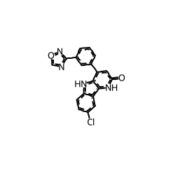 O=c1cc(-c2cccc(-c3ncon3)c2)c2[nH]c3ccc(Cl)cc3c2[nH]1